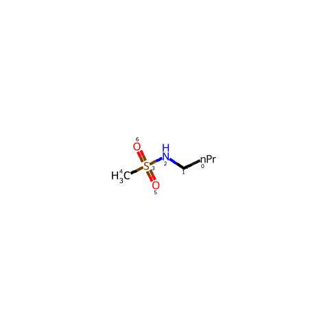 CCC[CH]NS(C)(=O)=O